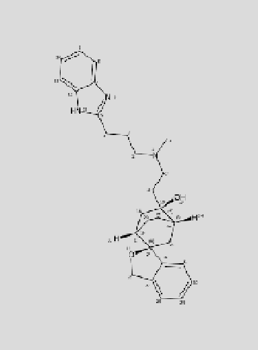 CN(CCCc1nc2ccccc2[nH]1)CC[C@@]1(O)C[C@@H]2CC[C@H]1C[C@@]21OCc2ccccc21